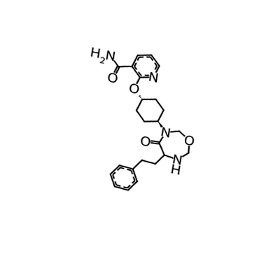 NC(=O)c1cccnc1O[C@H]1CC[C@H](N2COCNC(CCc3ccccc3)C2=O)CC1